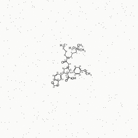 CCCCN(CCC[N+](C)(C)C)C(=O)CN1CC(c2ccc3c(c2)OCO3)[C@H](C(=O)O)[C@H]1c1ccc(OC)cc1